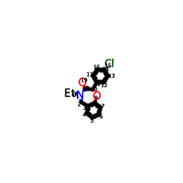 CCN1Cc2ccccc2OC(c2ccc(Cl)cc2)C1=O